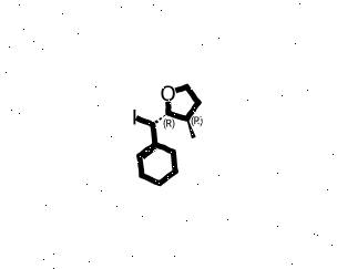 C[C@@H]1CCO[C@H]1C(I)C1=CCCCC1